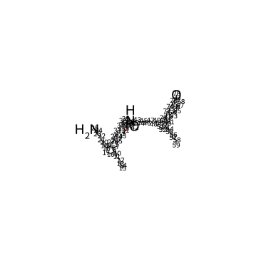 CCCCCCCCC1C(CCCCCC)CCC(CCCCCCN)C1CCCCCCCC(C)(C)C(C)(C)NC(=O)CCCCCCCC1CCC(CCCCCC)C(CCCCCCCC)C1CCCCCCCC=O